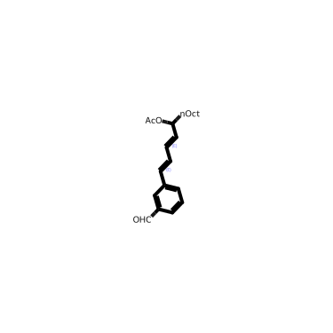 CCCCCCCCC(/C=C/C=C/c1cccc(C=O)c1)OC(C)=O